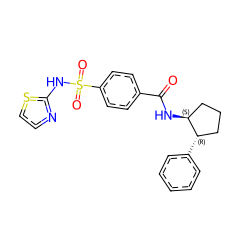 O=C(N[C@H]1CCC[C@@H]1c1ccccc1)c1ccc(S(=O)(=O)Nc2nccs2)cc1